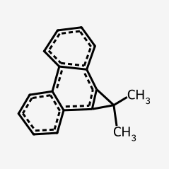 CC1(C)c2c1c1ccccc1c1ccccc21